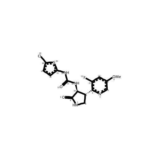 COc1cnc([C@@H]2CNC(=O)[C@H]2NC(=O)Nc2ccc(Cl)s2)c(F)c1